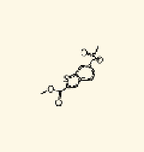 COC(=O)c1cc2ccc(S(C)(=O)=O)cc2s1